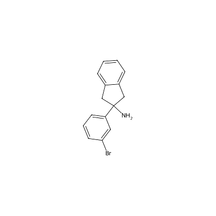 NC1(c2cccc(Br)c2)Cc2ccccc2C1